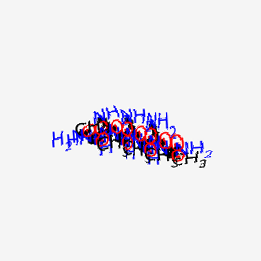 COc1ccc(NC(=O)[C@H](CCCCN)NC(=O)c2cc(NC(=O)[C@H](CCCCN)NC(=O)c3cc(NC(=O)[C@H](CCCCN)NC(=O)c4cc(NC(=O)[C@H](C)N)ccc4OC)ccc3OC)ccc2OC)cc1C(N)=O